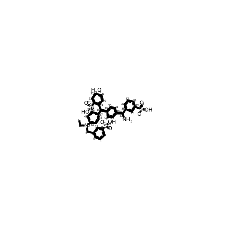 CCN(Cc1cccc(S(=O)(=O)O)c1)c1ccc(C(c2ccccc2S(=O)(=O)O)=c2ccc(=C(N)c3cccc(S(=O)(=O)O)c3)cc2)cc1.O